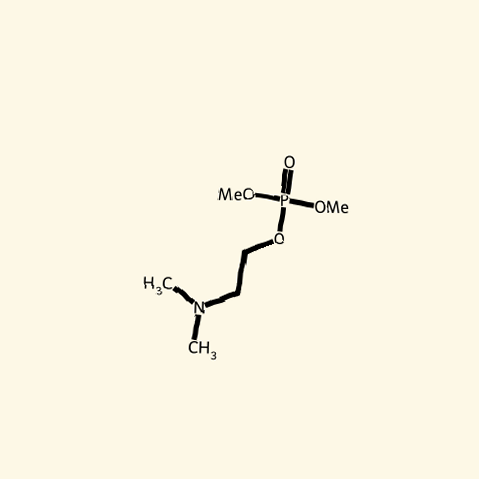 COP(=O)(OC)OCCN(C)C